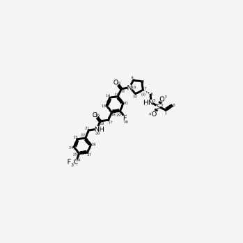 C=CS(=O)(=O)NC[C@H]1CCN(C(=O)c2ccc(CC(=O)NCc3ccc(C(F)(F)F)cc3)c(F)c2)C1